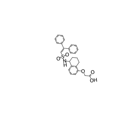 O=C(O)COc1cccc2c1CCCC2NS(=O)(=O)C=C(c1ccccc1)c1ccccc1